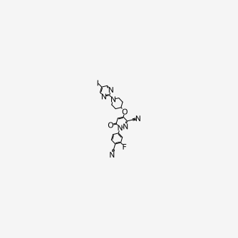 N#Cc1ccc(-n2nc(C#N)c(OC3CCN(c4ncc(I)cn4)CC3)cc2=O)cc1F